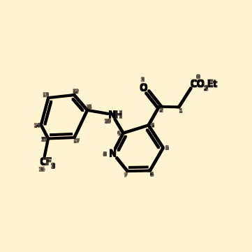 CCOC(=O)CC(=O)c1cccnc1Nc1cccc(C(F)(F)F)c1